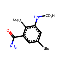 COc1c(NC(=O)O)cc(C(C)(C)C)cc1C(N)=O